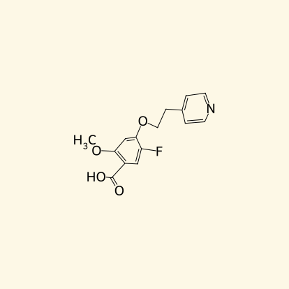 COc1cc(OCCc2ccncc2)c(F)cc1C(=O)O